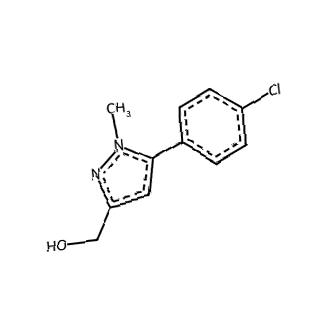 Cn1nc(CO)cc1-c1ccc(Cl)cc1